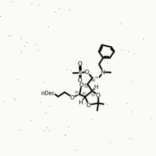 CCCCCCCCCCCCO[C@H]1O[C@H]([C@@H](CN(C)Cc2ccccc2)OS(C)(=O)=O)[C@@H]2OC(C)(C)O[C@H]12